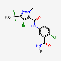 CC(C)NC(=O)c1cc(NC(=O)c2c(Br)c(C(F)(F)C(F)(F)F)nn2C)ccc1Cl